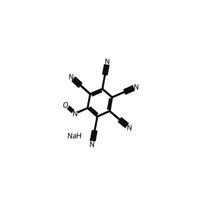 N#Cc1c(C#N)c(C#N)c(N=O)c(C#N)c1C#N.[NaH]